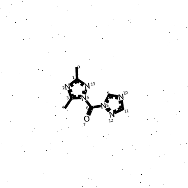 Cc1nc(C)n(C(=O)n2cncn2)n1